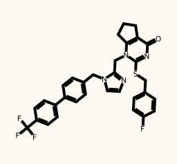 O=c1nc(SCc2ccc(F)cc2)n(Cc2nccn2Cc2ccc(-c3ccc(C(F)(F)F)cc3)cc2)c2c1CCC2